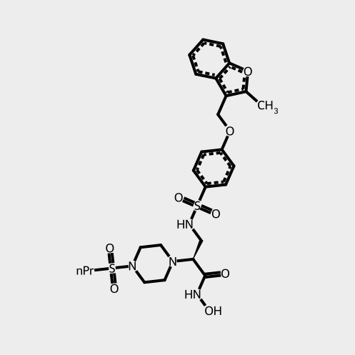 CCCS(=O)(=O)N1CCN([C@@H](CNS(=O)(=O)c2ccc(OCc3c(C)oc4ccccc34)cc2)C(=O)NO)CC1